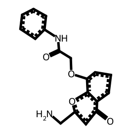 NCc1cc(=O)c2cccc(OCC(=O)Nc3ccccc3)c2o1